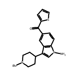 CCC(C)N1CCC(c2cn(N)c3ccc(C(=O)c4cccs4)cc23)CC1